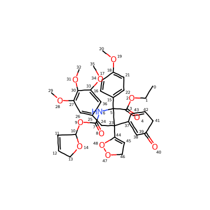 CCOC(=O)C(NC(=O)OC1C=CCO1)(c1ccc(OC)cc1)C(Cc1cc(OC)c(OC)c(OC)c1)(C1=CC(=O)CC=C1)C1=CCOO1